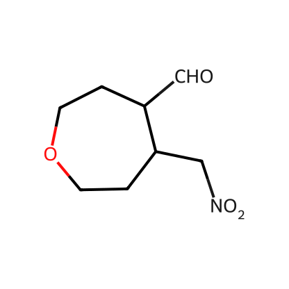 O=CC1CCOCCC1C[N+](=O)[O-]